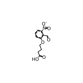 O=Cc1c(OCCCC(=O)O)cccc1[N+](=O)[O-]